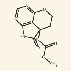 COC(=O)NC12CCOc3ncnc(c31)NC2=O